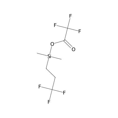 C[Si](C)(CCC(F)(F)F)OC(=O)C(F)(F)F